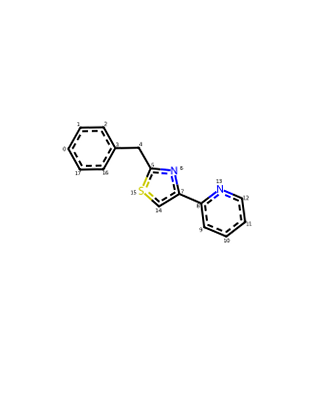 c1ccc(Cc2nc(-c3ccccn3)cs2)cc1